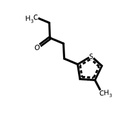 CCC(=O)CCc1cc(C)cs1